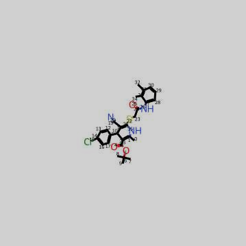 CC1=C(C(=O)OC(C)(C)C)C(c2ccc(Cl)cc2)C(C#N)=C(SCC(=O)Nc2cccc(C)c2C)N1